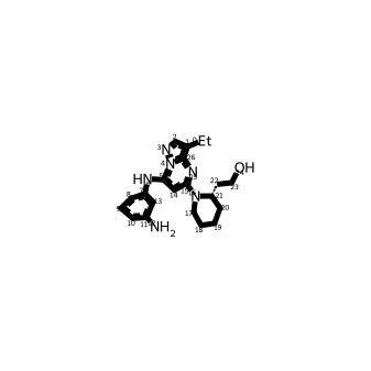 CCc1cnn2c(Nc3cccc(N)c3)cc(N3CCCC[C@H]3CCO)nc12